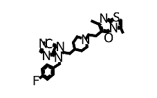 Cc1nc2scc(C)n2c(=O)c1CCN1CCC(Cc2nc3cncnc3n2Cc2ccc(F)cc2)CC1